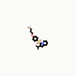 CC(C)c1cc2ccccn2c1S(=O)(=O)c1ccc(OCCCBr)cc1